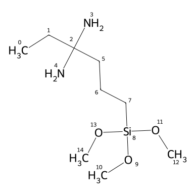 CCC(N)(N)CCC[Si](OC)(OC)OC